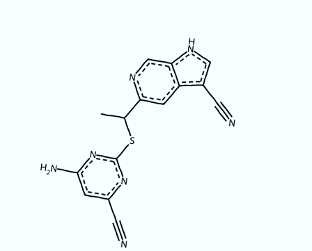 CC(Sc1nc(N)cc(C#N)n1)c1cc2c(C#N)c[nH]c2cn1